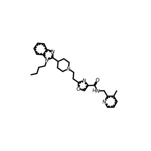 CCCCn1c(C2CCN(CCc3nc(C(=O)NCc4ncccc4C)co3)CC2)nc2ccccc21